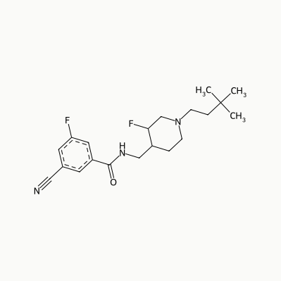 CC(C)(C)CCN1CCC(CNC(=O)c2cc(F)cc(C#N)c2)C(F)C1